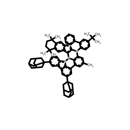 Cc1cc2c3c(c1)N(c1ccc(C(C)(C)C)cc1-c1ccccc1)c1oc4cc5c(cc4c1B3n1c3ccc(C46CC7CC(CC(C7)C4)C6)cc3c3cc(C46CC7CC(CC(C7)C4)C6)cc-2c31)C(C)(C)CCC5(C)C